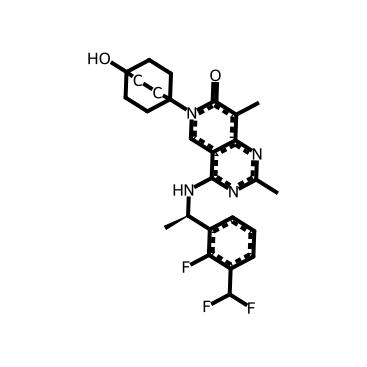 Cc1nc(N[C@H](C)c2cccc(C(F)F)c2F)c2cn(C34CCC(O)(CC3)CC4)c(=O)c(C)c2n1